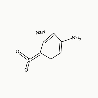 NC1=CCC(=S(=O)=O)C=C1.[NaH]